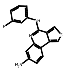 Nc1ccc2c(c1)nc(Nc1cccc(F)c1)c1cscc12